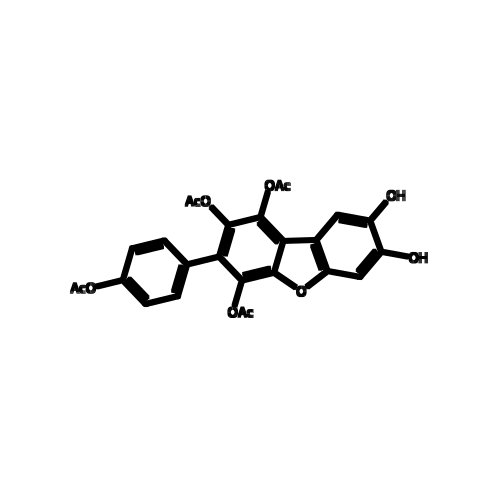 CC(=O)Oc1ccc(-c2c(OC(C)=O)c(OC(C)=O)c3c(oc4cc(O)c(O)cc43)c2OC(C)=O)cc1